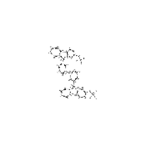 CC(C)(C)Cc1ccc2c3ccccc3n(-c3cccc(-c4cccc(-n5c6ccccc6c6ccc(CC(C)(C)C)cc65)c4)c3)c2c1